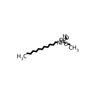 CCCCCCCCCCCCNO[PH](=O)OCC